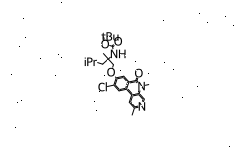 Cc1cc2c3cc(Cl)c(OCC(C)(CC(C)C)NC(=O)OC(C)(C)C)cc3c(=O)n(C)c2cn1